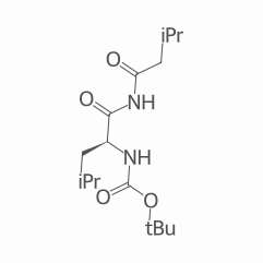 CC(C)CC(=O)NC(=O)[C@H](CC(C)C)NC(=O)OC(C)(C)C